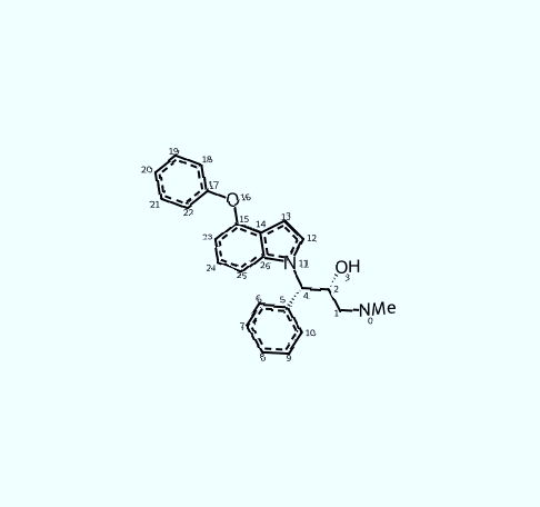 CNC[C@@H](O)[C@H](c1ccccc1)n1ccc2c(Oc3ccccc3)cccc21